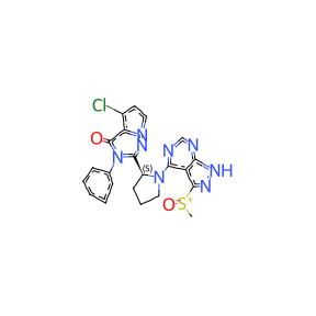 C[S+]([O-])c1n[nH]c2ncnc(N3CCC[C@H]3c3nn4ccc(Cl)c4c(=O)n3-c3ccccc3)c12